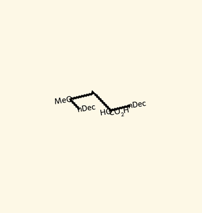 CCCCCCCCCCCCCCCCCCCCCCCC[C@@H](C(=O)O)[C@H](O)CCCCCCCCCCCCCCCCC[C@H]1CC1CCCCCCCCCCCCCCCC[C@H](OC)[C@H](C)CCCCCCCCCCCCCCCCCC